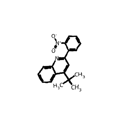 CC(C)(C)c1cc(-c2ccccc2[N+](=O)[O-])nc2ccccc12